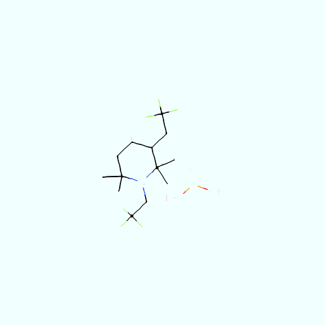 CC1(C)CCC(CC(F)(F)F)C(C)(C)N1CC(F)(F)F.O=[PH](O)O